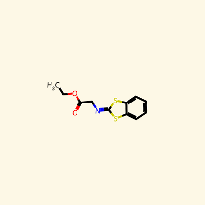 CCOC(=O)CN=c1sc2ccccc2s1